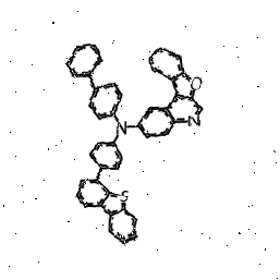 c1ccc(-c2ccc(N(c3ccc(-c4cccc5c4sc4ccccc45)cc3)c3ccc4ncc5oc6ccccc6c5c4c3)cc2)cc1